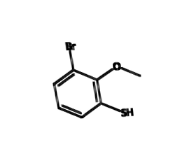 COc1c(S)cccc1Br